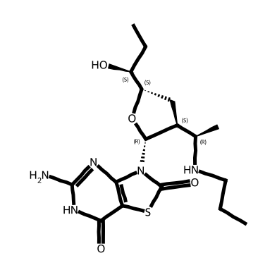 CCCN[C@H](C)[C@@H]1C[C@@H]([C@@H](O)CC)O[C@H]1n1c(=O)sc2c(=O)[nH]c(N)nc21